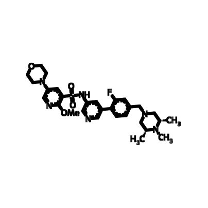 COc1ncc(N2CCOCC2)cc1S(=O)(=O)Nc1cncc(-c2ccc(CN3C[C@@H](C)N(C)[C@@H](C)C3)cc2F)c1